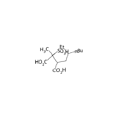 CCCCC(CC)CC(C(=O)O)C(C)(C(=O)O)S(=O)(=O)O